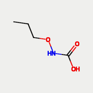 CCCONC(=O)O